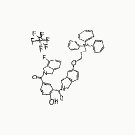 F[P-](F)(F)(F)(F)F.O=C(c1ccc(O)c(C(=O)N2Cc3ccc(OCCC[P+](c4ccccc4)(c4ccccc4)c4ccccc4)cc3C2)c1)N1Cc2cccc(F)c2C1